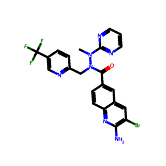 CN(c1ncccn1)N(Cc1ccc(C(F)(F)F)cn1)C(=O)c1ccc2nc(N)c(Br)cc2c1